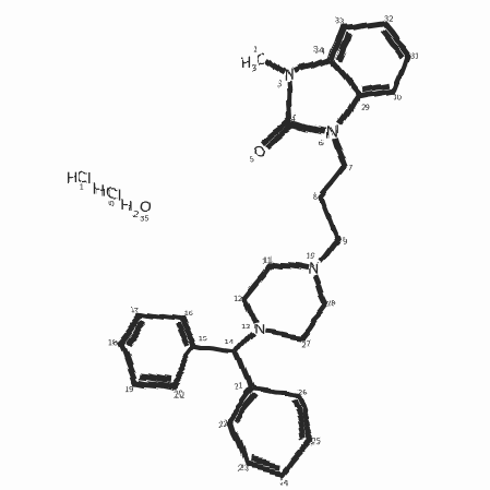 Cl.Cl.Cn1c(=O)n(CCCN2CCN(C(c3ccccc3)c3ccccc3)CC2)c2ccccc21.O